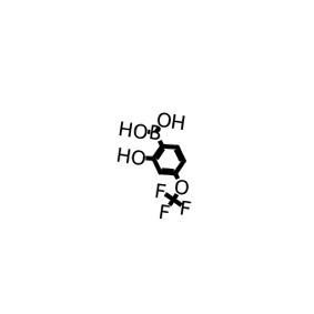 OB(O)c1ccc(OC(F)(F)F)cc1O